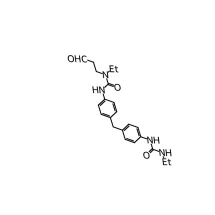 CCNC(=O)Nc1ccc(Cc2ccc(NC(=O)N(CC)CCC=O)cc2)cc1